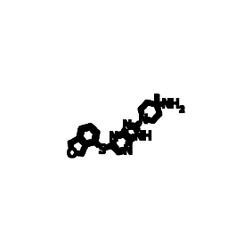 CC1(N)CCN(c2nc3nc(Sc4cccc5c4COC5)cnc3[nH]2)CC1